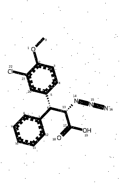 COc1ccc([C@@H](c2ccccc2)[C@H](N=[N+]=[N-])C(=O)O)cc1Cl